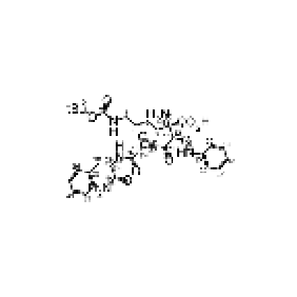 CC(C)(C)OC(=O)NCCCC[C@@](N)(C(=O)O)C(ONc1ccccc1)C(=O)[C@H]1O[C@@H]1C(=O)N[C@@H](Cc1ccccc1)C(N)=O